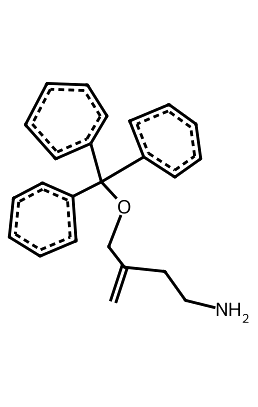 C=C(CCN)COC(c1ccccc1)(c1ccccc1)c1ccccc1